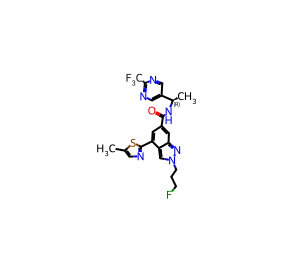 Cc1cnc(-c2cc(C(=O)N[C@H](C)c3cnc(C(F)(F)F)nc3)cc3nn(CCCF)cc23)s1